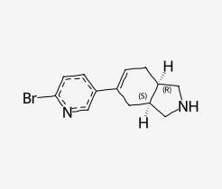 Brc1ccc(C2=CC[C@H]3CNC[C@H]3C2)cn1